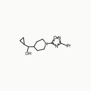 CC(C)c1noc(N2CCC(C(O)C3CC3)CC2)n1